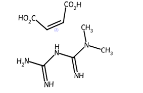 CN(C)C(=N)NC(=N)N.O=C(O)/C=C\C(=O)O